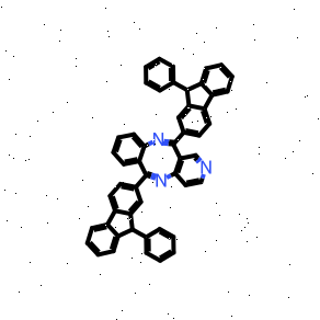 c1ccc(C2c3ccccc3-c3ccc(/C4=N/c5ccncc5/C(c5ccc6c(c5)C(c5ccccc5)c5ccccc5-6)=N\c5ccccc54)cc32)cc1